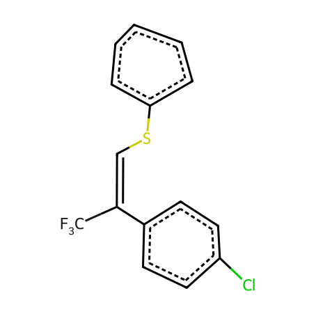 FC(F)(F)C(=CSc1ccccc1)c1ccc(Cl)cc1